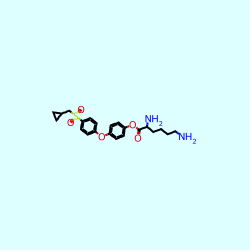 NCCCCC(N)C(=O)Oc1ccc(Oc2ccc(S(=O)(=O)CC3CC3)cc2)cc1